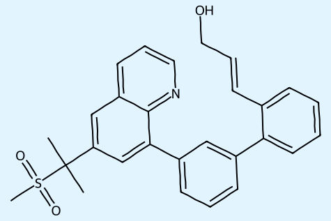 CC(C)(c1cc(-c2cccc(-c3ccccc3C=CCO)c2)c2ncccc2c1)S(C)(=O)=O